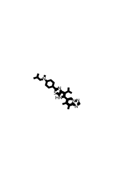 Cc1c(-c2[nH]c3sc(C4CCC(N(C)CC(C)C)CC4)nc3c2C(C)C)cn2ncnc2c1C